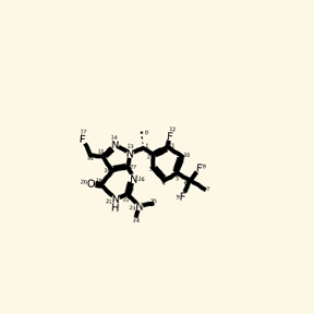 C[C@H](c1ccc(C(C)(F)F)cc1F)n1nc(CF)c2c(=O)[nH]c(N(C)C)nc21